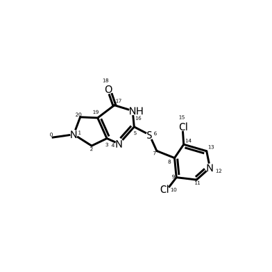 CN1Cc2nc(SCc3c(Cl)cncc3Cl)[nH]c(=O)c2C1